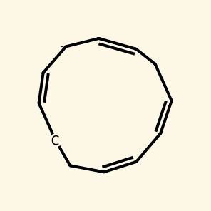 [CH]1C=CCC=CC=CCCC=C1